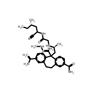 C=C(N)c1ccc2c(c1)CCc1cc(C(N)=O)ccc1C2(C[C@H](C)NCC(=O)NC(C#N)C[C@@H](C)CC)/C(N)=N/NC